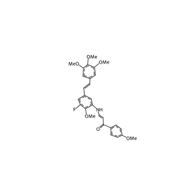 COc1ccc(C(=O)C=CNc2cc(C=Cc3cc(OC)c(OC)c(OC)c3)cc(F)c2OC)cc1